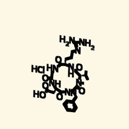 CC(C)[C@H]1C(=O)N[C@@H](CCCN=C(N)N)C(=O)NCC(=O)N[C@@H](CC(=O)O)C(=O)N[C@H](Cc2ccccc2)C(=O)N1C.Cl